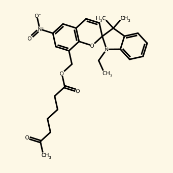 CCN1c2ccccc2C(C)(C)C12C=Cc1cc([N+](=O)[O-])cc(COC(=O)CCCCC(C)=O)c1O2